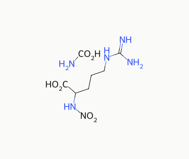 N=C(N)NCCCC(N[N+](=O)[O-])C(=O)O.NC(=O)O